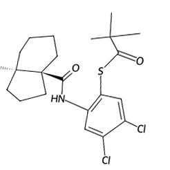 CC(C)(C)C(=O)Sc1cc(Cl)c(Cl)cc1NC(=O)[C@]12CCCC[C@@H]1CCC2